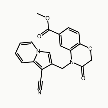 COC(=O)c1ccc2c(c1)N(Cc1cn3ccccc3c1C#N)C(=O)CO2